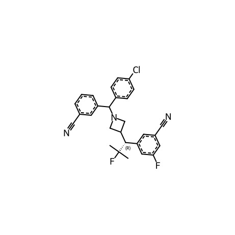 CC(C)(F)[C@@H](c1cc(F)cc(C#N)c1)C1CN(C(c2ccc(Cl)cc2)c2cccc(C#N)c2)C1